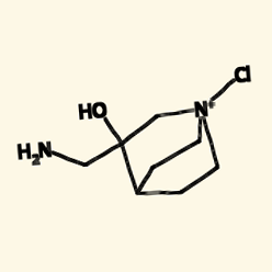 NCC1(O)C[N+]2(Cl)CCC1CC2